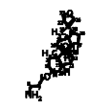 C[C@]12CC[C@H](OCCCN)C[C@H]1CC[C@@H]1[C@@H]2CC[C@]2(C)[C@@H](c3ccoc3)CC[C@@]12O